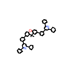 CC1(C)c2cc(-c3cccc(-c4cc(C5=CC=CCC5)nc(-c5ccccc5)c4)c3)ccc2Oc2ccc(-c3cccc(-c4cc(-c5ccccc5)nc(C5C=CC=CC5)c4)c3)cc21